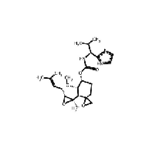 CO[C@@H]1[C@H](OC(=O)N[C@H](c2ncc[nH]2)C(C)C)CC[C@]2(CO2)[C@H]1[C@@]1(C)O[C@@H]1CC=C(C)C